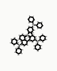 c1ccc(N(c2ccccc2)c2ccc3c(c2)c2cc(N(c4ccccc4)c4ccccc4)cc4c5ccc(N(c6ccccc6)c6ccccc6)c6cccc(c65)n3c42)cc1